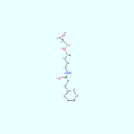 O=C(CCC1CCCCC1)NCCCCOCC1CO1